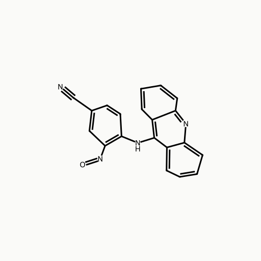 N#Cc1ccc(Nc2c3ccccc3nc3ccccc23)c(N=O)c1